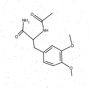 COc1ccc(CC(NC(C)=O)C(N)=O)cc1OC